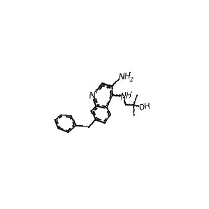 CC(C)(O)CNc1c(N)cnc2cc(Cc3ccccc3)ccc12